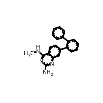 CNc1nc(N)nc2cc(-c3ccccc3-c3ccccc3)ccc12